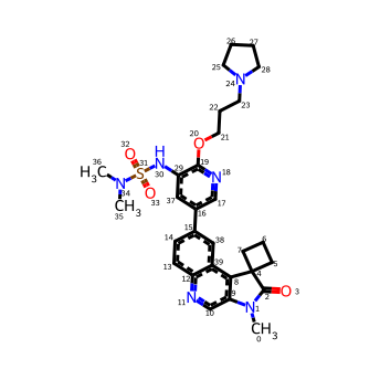 CN1C(=O)C2(CCC2)c2c1cnc1ccc(-c3cnc(OCCCN4CCCC4)c(NS(=O)(=O)N(C)C)c3)cc21